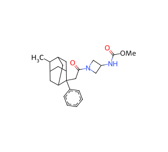 COC(=O)NC1CN(C(=O)CC2(c3ccccc3)C3CC4CC2CC(C3)C4C)C1